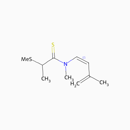 C=C(C)/C=C\N(C)C(=S)C(C)SC